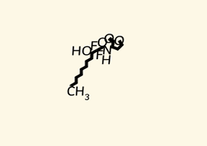 CCCCCCCCC[C@@H](O)C(F)(F)C(=O)N[C@H]1CCOC1=O